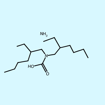 CCCCC(CC)CN(CC(CC)CCCC)C(=O)O.N